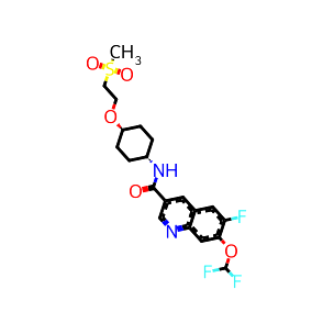 CS(=O)(=O)CCO[C@H]1CC[C@H](NC(=O)c2cnc3cc(OC(F)F)c(F)cc3c2)CC1